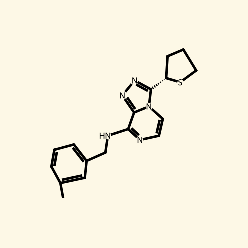 Cc1cccc(CNc2nccn3c([C@@H]4CCCS4)nnc23)c1